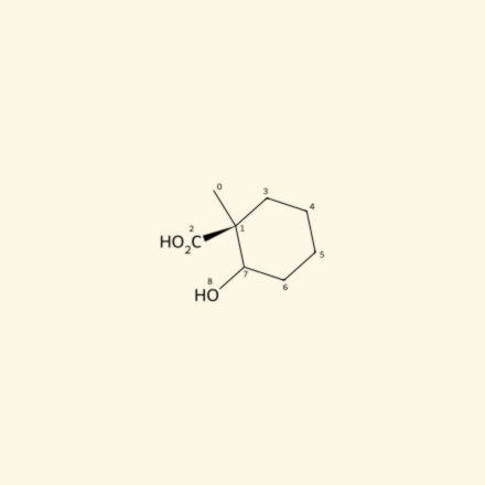 C[C@]1(C(=O)O)CCCCC1O